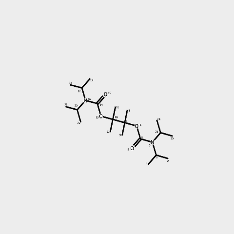 CC(C)N(C(=O)OC(C)(C)C(C)(C)OC(=O)N(C(C)C)C(C)C)C(C)C